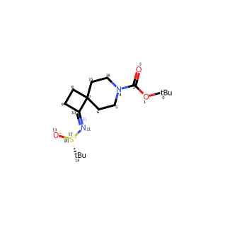 CC(C)(C)OC(=O)N1CCC2(CC/C2=N\[S@@+]([O-])C(C)(C)C)CC1